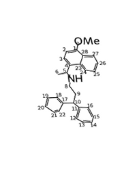 COc1ccc(C(C)NCCC(c2ccccc2)c2ccccc2)c2ccccc12